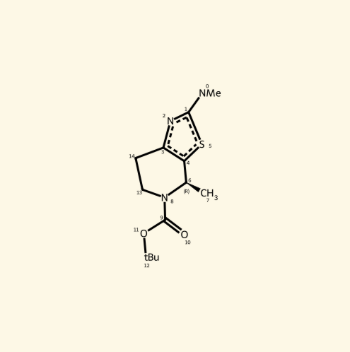 CNc1nc2c(s1)[C@@H](C)N(C(=O)OC(C)(C)C)CC2